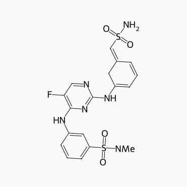 CNS(=O)(=O)c1cccc(Nc2nc(NC3=CC=C/C(=C\S(N)(=O)=O)C3)ncc2F)c1